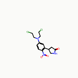 O=C1CC(c2cc(N(CCCl)CCCl)ccc2[N+](=O)[O-])CN1